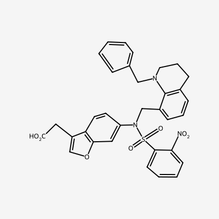 O=C(O)Cc1coc2cc(N(Cc3cccc4c3N(Cc3ccccc3)CCC4)S(=O)(=O)c3ccccc3[N+](=O)[O-])ccc12